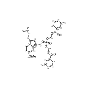 COc1ccc2c(CCN(C)C)cn(COP(=O)(OCOC(=O)C3=CN(C)C=CC3)OCOC(O)C3=CN(C)C=CC3)c2c1